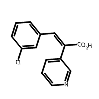 O=C(O)C(=Cc1cccc(Cl)c1)c1cccnc1